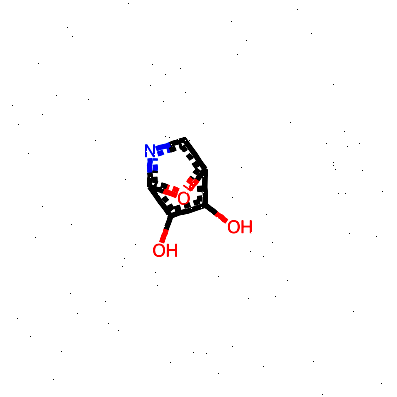 Oc1c(O)c2ncc1o2